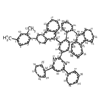 Cc1ccc(-c2ccc3c(c2)c2ccccc2n3-c2cc(-c3nc(-c4ccccc4)cc(-c4ccccc4)n3)ccc2-c2ccccc2-n2c3ccccc3c3ccccc32)c(C)c1